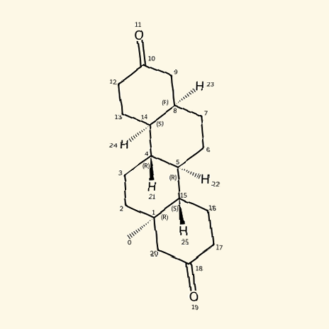 C[C@]12CC[C@H]3[C@@H](CC[C@@H]4CC(=O)CC[C@@H]43)[C@@H]1CCC(=O)C2